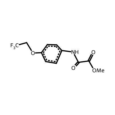 COC(=O)C(=O)Nc1ccc(OCC(F)(F)F)cc1